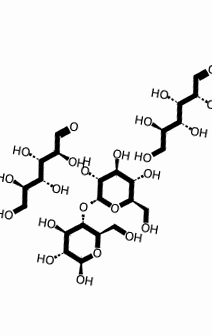 O=C[C@@H](O)[C@@H](O)[C@H](O)[C@H](O)CO.O=C[C@H](O)[C@@H](O)[C@H](O)[C@H](O)CO.OC[C@H]1O[C@H](O[C@H]2[C@H](O)[C@@H](O)[C@H](O)O[C@@H]2CO)[C@H](O)[C@@H](O)[C@@H]1O